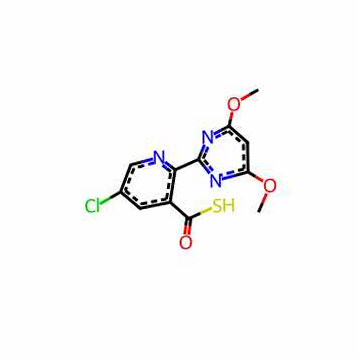 COc1cc(OC)nc(-c2ncc(Cl)cc2C(=O)S)n1